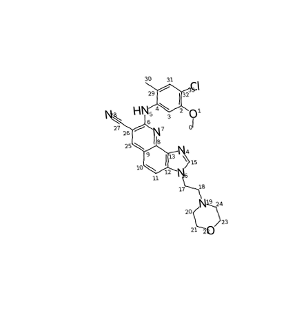 COc1cc(Nc2nc3c(ccc4c3ncn4CCN3CCOCC3)cc2C#N)c(C)cc1Cl